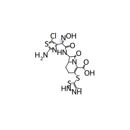 CC1=C(SC2=C(C(=O)O)N3C(=O)C(NC(=O)/C(=N\O)c4nc(N)sc4Cl)C3CC2)SNN1